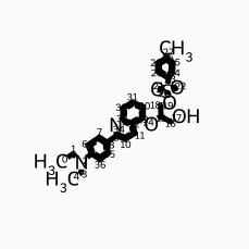 CCN(CC)c1ccc(-c2ccc3c(OC(CO)COS(=O)(=O)c4ccc(C)cc4)cccc3n2)cc1